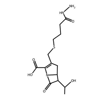 CC(O)C1C(=O)N2C(C(=O)O)=C(CSCCCC(=O)NN)CC12